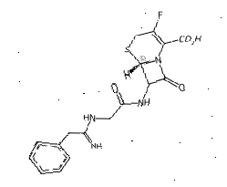 N=C(Cc1ccccc1)NCC(=O)NC1C(=O)N2C(C(=O)O)=C(F)CS[C@@H]12